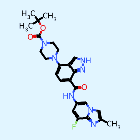 Cc1cn2cc(NC(=O)c3ccc(N4CCN(C(=O)OC(C)(C)C)CC4)c4c[nH]nc34)cc(F)c2n1